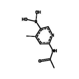 CC(=O)Nc1cc(C)c(B(O)O)cn1